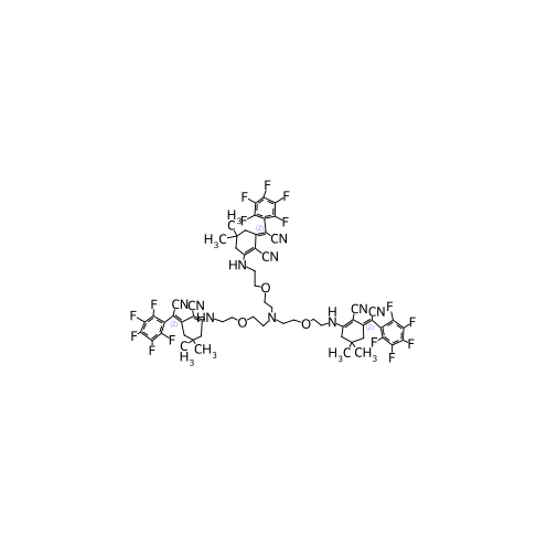 CC1(C)CC(NCCOCCN(CCOCCNC2=C(C#N)/C(=C(\C#N)c3c(F)c(F)c(F)c(F)c3F)CC(C)(C)C2)CCOCCNC2=C(C#N)/C(=C(\C#N)c3c(F)c(F)c(F)c(F)c3F)CC(C)(C)C2)=C(C#N)/C(=C(\C#N)c2c(F)c(F)c(F)c(F)c2F)C1